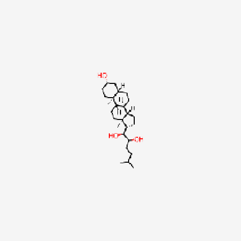 CC(C)CC[C@H](O)[C@@H](O)[C@H]1CC[C@H]2[C@@H]3CC[C@H]4C[C@@H](O)CC[C@]4(C)[C@H]3CC[C@]12C